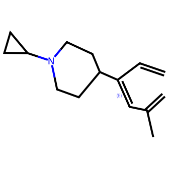 C=C/C(=C\C(=C)C)C1CCN(C2CC2)CC1